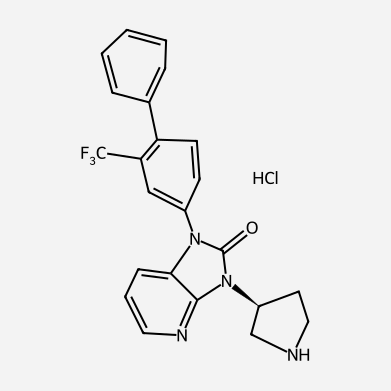 Cl.O=c1n(-c2ccc(-c3ccccc3)c(C(F)(F)F)c2)c2cccnc2n1[C@H]1CCNC1